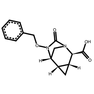 O=C(O)[C@H]1[C@@H]2C[C@@H]2[C@H]2CN1C(=O)N2OCc1ccccc1